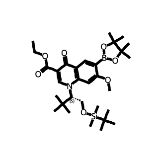 CCOC(=O)c1cn([C@H](CO[Si](C)(C)C(C)(C)C)C(C)(C)C)c2cc(OC)c(B3OC(C)(C)C(C)(C)O3)cc2c1=O